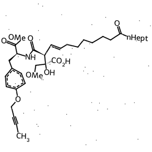 CC#CCOc1ccc(C[C@H](NC(=O)[C@@H](/C=C/CCCCCCC(=O)CCCCCCC)[C@@](O)(COC)C(=O)O)C(=O)OC)cc1